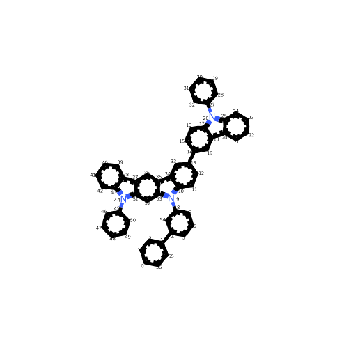 c1ccc(-c2cccc(-n3c4ccc(-c5ccc6c(c5)c5ccccc5n6-c5ccccc5)cc4c4cc5c6ccccc6n(-c6ccccc6)c5cc43)c2)cc1